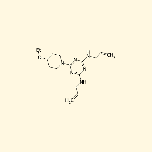 C=CCNc1nc(NCC=C)nc(N2CCC(OCC)CC2)n1